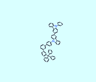 c1ccc(-n2c3ccccc3c3cc(-c4ccc5c(c4)c4ccccc4n5-c4ccc(-c5cccc(-c6cccc(C(c7ccccc7)(c7ccccc7)c7ccccc7)c6)c5)cc4)ccc32)cc1